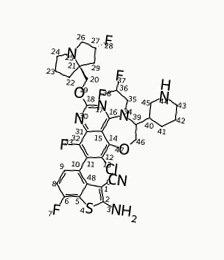 N#Cc1c(N)sc2c(F)ccc(-c3c(Cl)c4c5c(nc(OC[C@@]67CCCN6C[C@H](F)C7)nc5c3F)N(CC(F)F)C(C3CCCNC3)CO4)c12